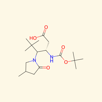 CC1CC(=O)N(C([C@H](CC(=O)O)NC(=O)OC(C)(C)C)C(C)(C)C)C1